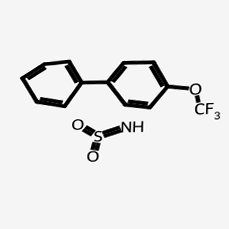 FC(F)(F)Oc1ccc(-c2ccccc2)cc1.N=S(=O)=O